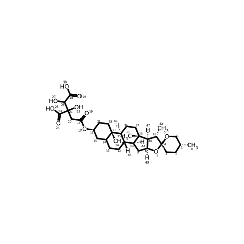 C[C@@H]1CC[C@@]2(OC1)O[C@H]1C[C@H]3[C@@H]4CCC5C[C@@H](OC(=O)CC(O)(C(=O)O)C(O)C(=O)O)CC[C@]5(C)[C@H]4CC[C@]3(C)[C@H]1[C@@H]2C